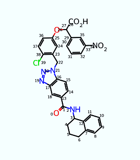 O=C(NC1CCCc2ccccc21)c1ccc2c(c1)nnn2Cc1cc(OC(C(=O)O)c2cccc([N+](=O)[O-])c2)ccc1Cl